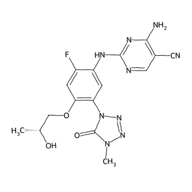 C[C@@H](O)COc1cc(F)c(Nc2ncc(C#N)c(N)n2)cc1-n1nnn(C)c1=O